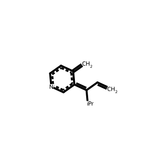 C=C/C(=c1/cnccc1=C)C(C)C